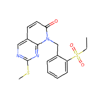 CCS(=O)(=O)c1ccccc1Cn1c(=O)ccc2cnc(SC)nc21